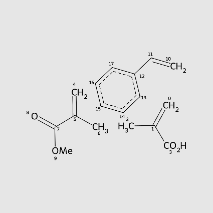 C=C(C)C(=O)O.C=C(C)C(=O)OC.C=Cc1ccccc1